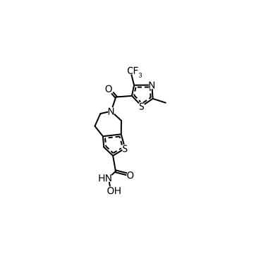 Cc1nc(C(F)(F)F)c(C(=O)N2CCc3cc(C(=O)NO)sc3C2)s1